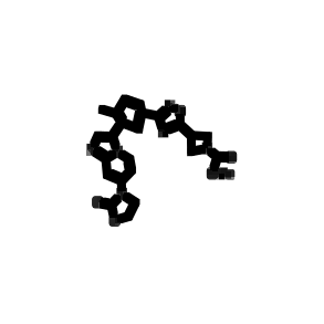 COC(=O)N1CC(c2nc(-c3ccc(C)c(-c4cnc5cc(N6CCOC6=O)ccn45)c3)no2)C1